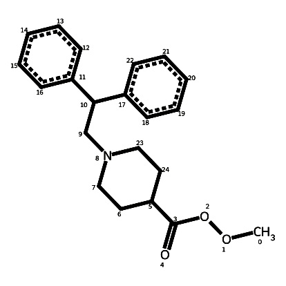 COOC(=O)C1CCN(CC(c2ccccc2)c2ccccc2)CC1